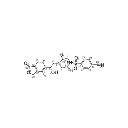 Cc1c([C@@H](O)CN2C[C@@H]3C[C@H]2CN3S(=O)(=O)c2ccc(C#N)cc2)ccc2c1COC2=O